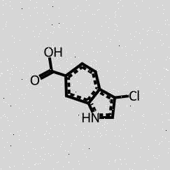 O=C(O)c1ccc2c(Cl)c[nH]c2c1